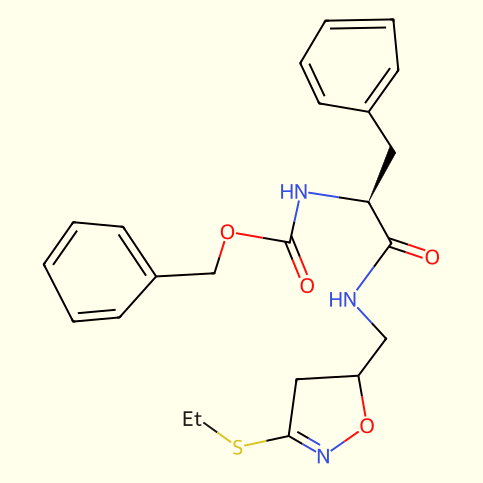 CCSC1=NOC(CNC(=O)[C@H](Cc2ccccc2)NC(=O)OCc2ccccc2)C1